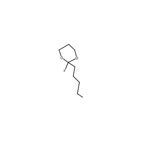 CCCCCC1(F)OCCCO1